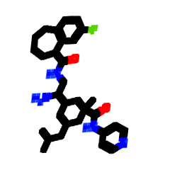 CC(C)CC1CC(C(N)CNC(=O)C2CCCCc3ccc(F)cc32)CC(C)(C(=O)Nc2ccncc2)C1